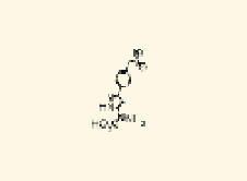 NN(C(=O)O)c1cc(-c2ccc(C[SH](=O)=O)cc2)n[nH]1